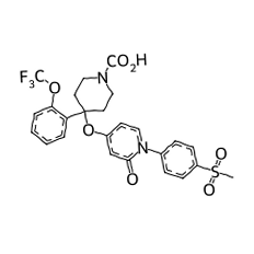 CS(=O)(=O)c1ccc(-n2ccc(OC3(c4ccccc4OC(F)(F)F)CCN(C(=O)O)CC3)cc2=O)cc1